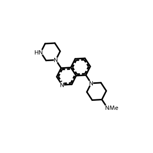 CNC1CCN(c2cccc3c(N4CCCNC4)cncc23)CC1